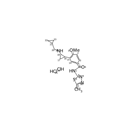 COc1ccc(C(=O)Nc2nnc(C)s2)cc1C1CC1NCC1CC1.Cl.Cl